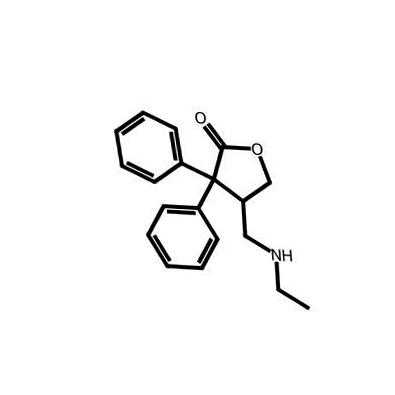 CCNCC1COC(=O)C1(c1ccccc1)c1ccccc1